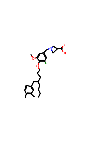 CCCCC(CCCOc1c(F)cc(CN2CC(C(=O)O)C2)cc1OC)Cc1ccc(C)c(C)c1